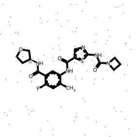 Cc1cc(F)c(C(=O)N[C@H]2CCOC2)cc1NC(=O)c1cnc(NC(=O)N2CCC2)s1